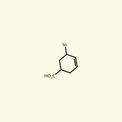 [2H]C1C=CCC(C(=O)O)C1